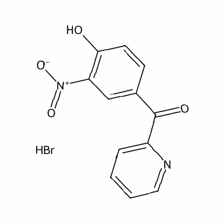 Br.O=C(c1ccc(O)c([N+](=O)[O-])c1)c1ccccn1